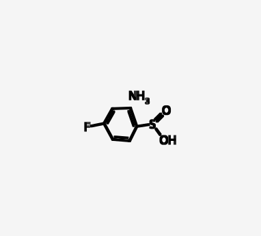 N.O=S(O)c1ccc(F)cc1